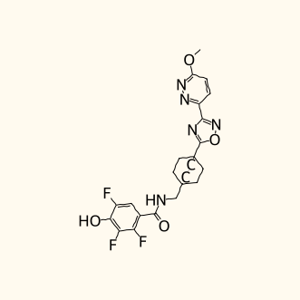 COc1ccc(-c2noc(C34CCC(CNC(=O)c5cc(F)c(O)c(F)c5F)(CC3)CC4)n2)nn1